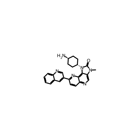 Cn1c(=O)n([C@H]2CC[C@H](N)CC2)c2c3nc(-c4cnc5ccccc5c4)ccc3ncc21